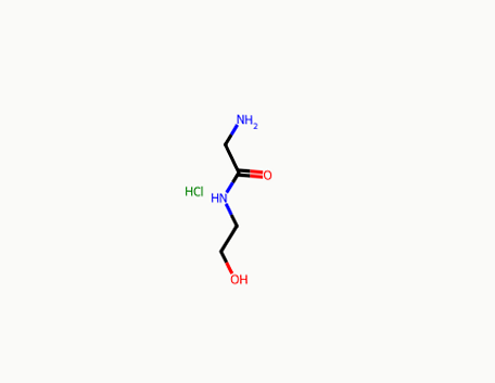 Cl.NCC(=O)NCCO